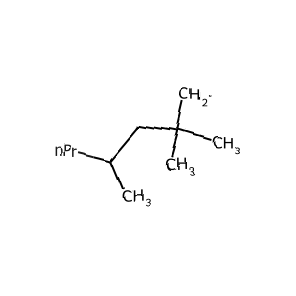 [CH2]C(C)(C)CC(C)CCC